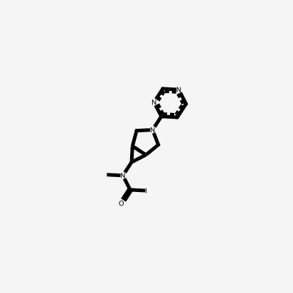 CN(C(=O)I)C1C2CN(c3ccncn3)CC21